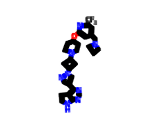 FC(F)(F)c1cc(CN2CCC2)cc(OC2CCN(C3CC(n4cc(-c5ncnc6[nH]ccc56)cn4)C3)CC2)n1